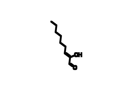 CCCCCCC=C(O)C=O